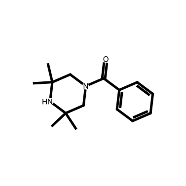 CC1(C)CN(C(=O)c2ccccc2)CC(C)(C)N1